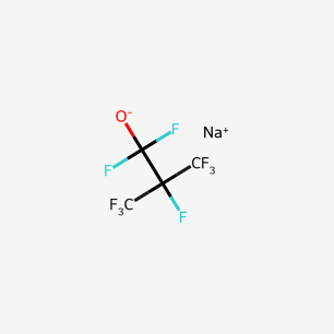 [Na+].[O-]C(F)(F)C(F)(C(F)(F)F)C(F)(F)F